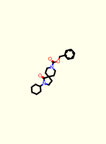 O=C(OCc1ccccc1)N1CCC2(CC1)CCN(C1CCCCC1)C2=O